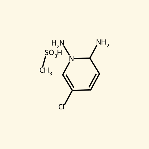 CS(=O)(=O)O.NC1C=CC(Cl)=CN1N